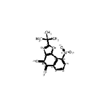 CC(C)(C)c1nc2c(o1)-c1c(cccc1[N+](=O)[O-])C(=O)C2=O